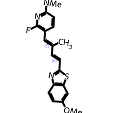 CNc1ccc(/C=C(C)/C=C/c2nc3ccc(OC)cc3s2)c(F)n1